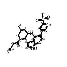 C[C@H]1C[C@@H](Nc2c(-c3cc(S(C)(=O)=O)sn3)cnc3[nH]ccc23)CN(C(=O)CC#N)C1